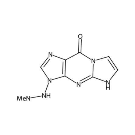 CNNn1cnc2c(=O)n3cc[nH]c3nc21